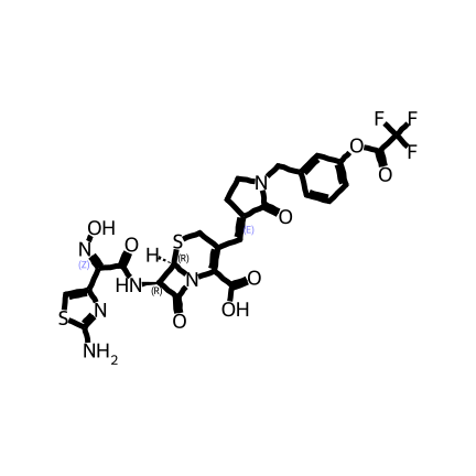 Nc1nc(/C(=N/O)C(=O)N[C@@H]2C(=O)N3C(C(=O)O)=C(/C=C4\CCN(Cc5cccc(OC(=O)C(F)(F)F)c5)C4=O)CS[C@H]23)cs1